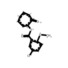 COc1ccc(Cl)cc1C(=O)Sc1cccccc1=O